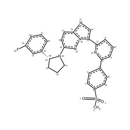 CS(=O)(=O)c1ccc(-c2cccc(-c3cnc4ccc(N5CCC[C@@H]5c5cccc(F)c5)nn34)n2)cc1